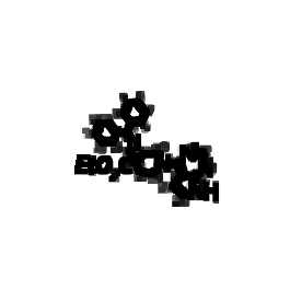 CCOC(=O)C1(CN=C(c2ccccc2)c2ccccc2)CCN(c2ncnc3[nH]ccc23)CC1